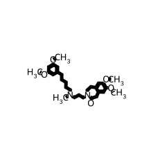 COc1cc(CCCCCN(C)CCCN2CCc3cc(OC)c(OC)cc3CC2=O)cc(OC)c1